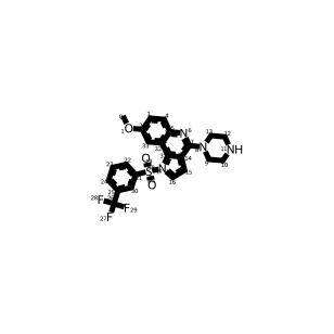 COc1ccc2nc(N3CCNCC3)c3ccn(S(=O)(=O)c4cccc(C(F)(F)F)c4)c3c2c1